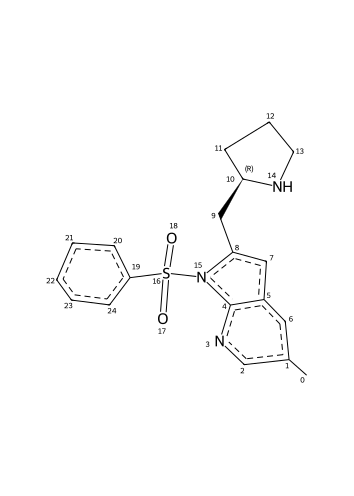 Cc1cnc2c(c1)cc(C[C@H]1CCCN1)n2S(=O)(=O)c1ccccc1